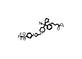 COC(=O)CC/C=C/[C@H]1CCC[C@@H]1[C@](C#N)(c1ccccc1)C1CCN(CC2CN(c3ccc(S(=O)(=O)C(F)(F)F)cc3)C2)CC1